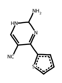 N#CC1=CNC(N)N=C1c1cccs1